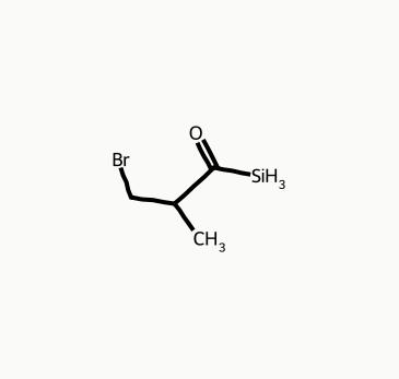 CC(CBr)C(=O)[SiH3]